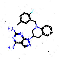 Cc1ccc(F)c(CN2CC(n3ncc4c(N)nc(N)nc43)Cc3ccccc32)c1